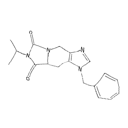 CC(C)N1C(=O)C2Cc3c(ncn3Cc3ccccc3)CN2C1=O